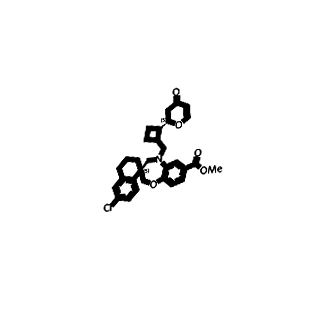 COC(=O)c1ccc2c(c1)N(CC1CCC1[C@@H]1CC(=O)C=CO1)C[C@@]1(CCCc3cc(Cl)ccc31)CO2